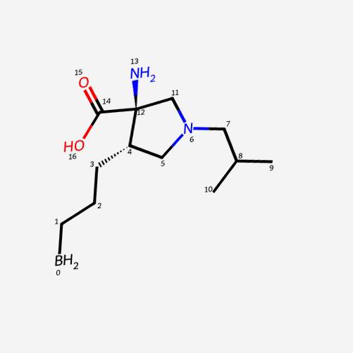 BCCC[C@H]1CN(CC(C)C)C[C@@]1(N)C(=O)O